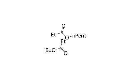 CCC(=O)OCC(C)C.CCCCCOC(=O)CC